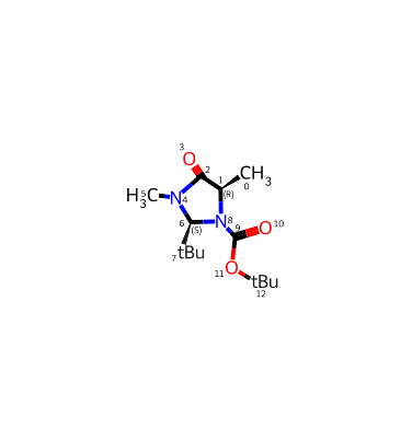 C[C@@H]1C(=O)N(C)[C@H](C(C)(C)C)N1C(=O)OC(C)(C)C